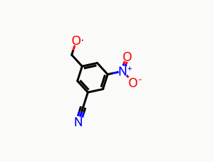 N#Cc1cc(C[O])cc([N+](=O)[O-])c1